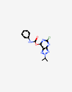 CC(C)n1nc2nc(Cl)nc(OC(=O)Nc3ccccc3)c2n1